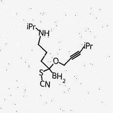 BC(CCCNC(C)C)(OCC#CC(C)C)SC#N